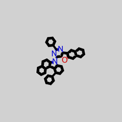 c1ccc(-c2nc(-n3c4cccc(-c5ccccc5)c4c4c5ccccc5ccc43)c3oc4cc5ccccc5cc4c3n2)cc1